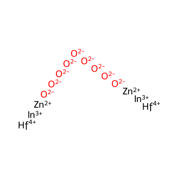 [Hf+4].[Hf+4].[In+3].[In+3].[O-2].[O-2].[O-2].[O-2].[O-2].[O-2].[O-2].[O-2].[O-2].[Zn+2].[Zn+2]